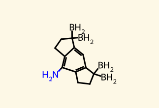 BC1(B)CCc2c1cc1c(c2N)CCC1(B)B